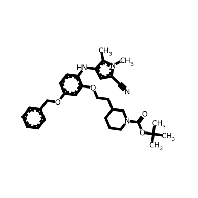 Cc1c(Nc2ccc(OCc3ccccc3)cc2OCCC2CCCN(C(=O)OC(C)(C)C)C2)cc(C#N)n1C